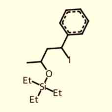 CC[Si](CC)(CC)OC(C)CC(I)c1ccccc1